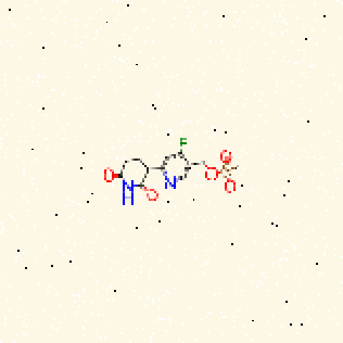 CS(=O)(=O)OCc1cnc(C2CCC(=O)NC2=O)cc1F